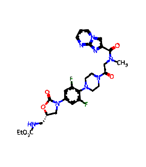 CCOC(=O)NC[C@H]1CN(c2cc(F)c(N3CCN(C(=O)CN(C)C(=O)c4cn5cccnc5n4)CC3)c(F)c2)C(=O)O1